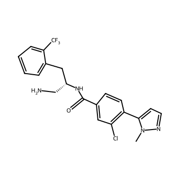 Cn1nccc1-c1ccc(C(=O)N[C@H](CN)Cc2ccccc2C(F)(F)F)cc1Cl